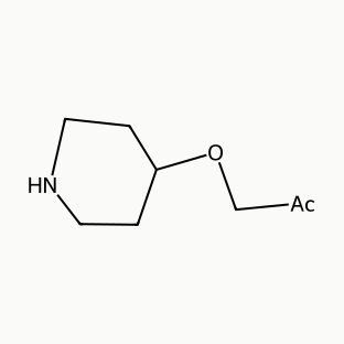 CC(=O)COC1CCNCC1